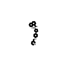 C[C@@H](N[C@H]1CC[C@@H](c2ccc(OCc3cccnc3)cc2)C1)c1cccc2ccccc12